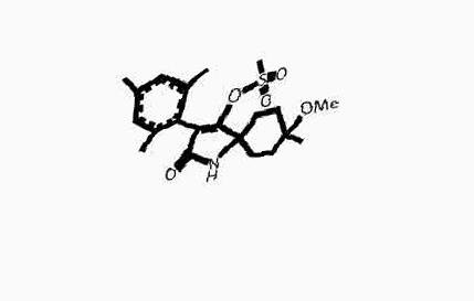 COC1(C)CCC2(CC1)NC(=O)C(c1c(C)cc(C)cc1C)=C2OS(C)(=O)=O